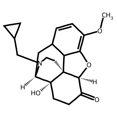 COC1=C2O[C@H]3C(=O)CC[C@@]4(O)[C@H]5CC(C=C1)C2[C@@]34CCN5CC1CC1